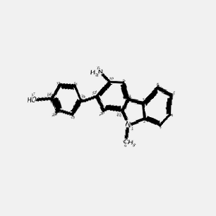 Cn1c2ccccc2c2cc(N)c(-c3ccc(O)cc3)cc21